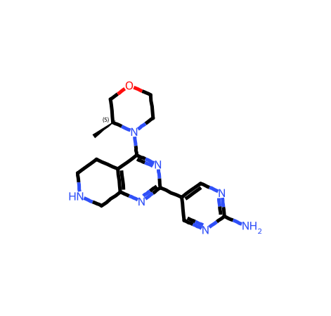 C[C@H]1COCCN1c1nc(-c2cnc(N)nc2)nc2c1CCNC2